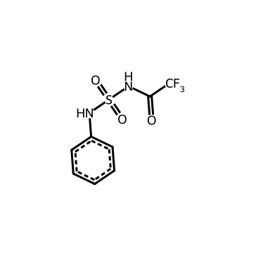 O=C(NS(=O)(=O)Nc1ccccc1)C(F)(F)F